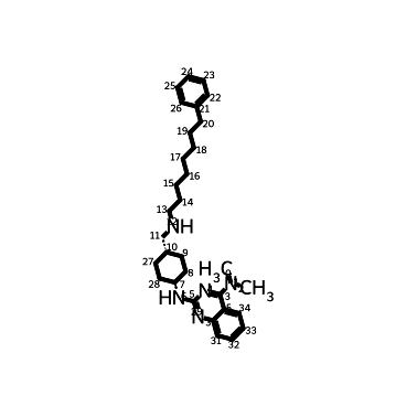 CN(C)c1nc(N[C@H]2CC[C@@H](CNCCCCCCCCc3ccccc3)CC2)nc2ccccc12